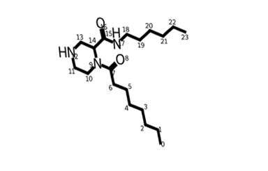 CCCCCCCC(=O)N1CCNCC1C(=O)NCCCCCC